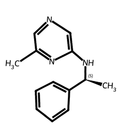 Cc1cncc(N[C@@H](C)c2ccccc2)n1